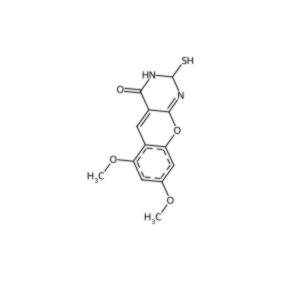 COc1cc(OC)c2c(c1)OC1=NC(S)NC(=O)C1=C2